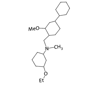 CCOC1CCCC(N(C)CC2CCC(C3CCCCC3)CC2OC)C1